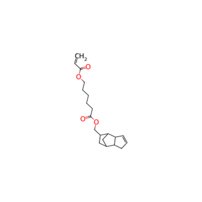 C=CC(=O)OCCCCCC(=O)OCC1CC2CC1C1C=CCC21